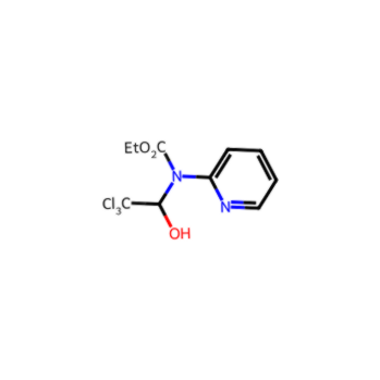 CCOC(=O)N(c1ccccn1)C(O)C(Cl)(Cl)Cl